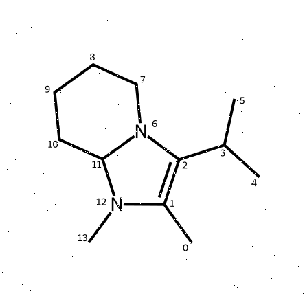 CC1=C(C(C)C)N2CCCCC2N1C